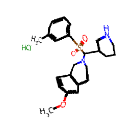 COc1ccc2c(c1)CCN(C(C1CCCNC1)S(=O)(=O)c1cccc(C)c1)C2.Cl